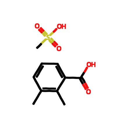 CS(=O)(=O)O.Cc1cccc(C(=O)O)c1C